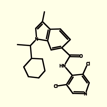 Cc1cn(C(C)C2CCCCC2)c2cc(C(=O)Nc3c(Cl)cncc3Cl)ccc12